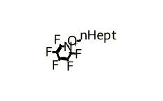 CCCCCCCCO[n+]1c(F)c(F)c(F)c(F)c1F